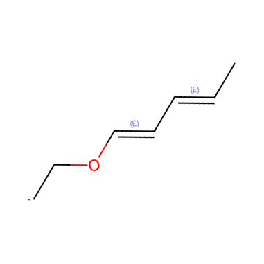 [CH2]CO/C=C/C=C/C